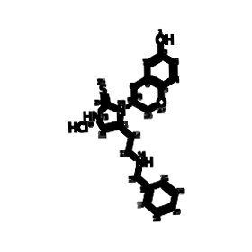 Cl.Oc1ccc2c(c1)C[C@@H](n1c(CCNCc3ccccc3)c[nH]c1=S)CO2